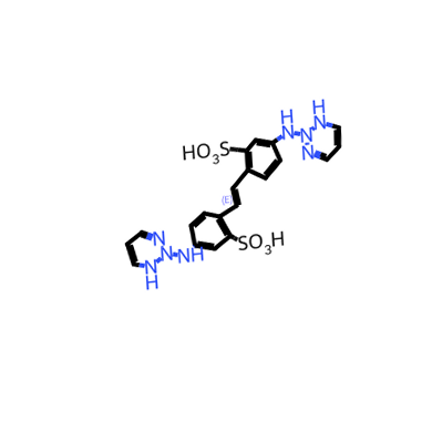 O=S(=O)(O)c1cc(NN2N=CC=CN2)ccc1/C=C/c1ccc(NN2N=CC=CN2)cc1S(=O)(=O)O